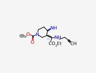 C#CCCN/C(C(=O)OCC)=C1/CN(C(=O)OC(C)(C)C)CCC1=N